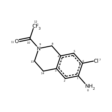 Nc1cc2c(cc1Cl)CN(C(=O)C(F)(F)F)CC2